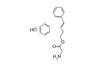 Cl.NCC(=O)OCCC=Cc1ccccc1.[c]1ccccc1